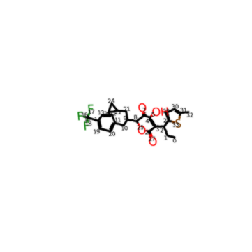 CCC(C1=C(O)C(=O)C(C(Cc2ccc(C(F)(F)F)cc2)CC2CC2)OC1=O)c1ccc(C)s1